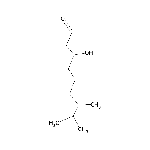 CC(C)C(C)CCCC(O)CC=O